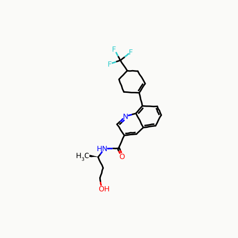 C[C@H](CCO)NC(=O)c1cnc2c(C3=CCC(C(F)(F)F)CC3)cccc2c1